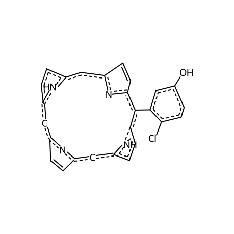 Oc1ccc(Cl)c(-c2c3nc(cc4ccc(cc5nc(cc6ccc2[nH]6)C=C5)[nH]4)C=C3)c1